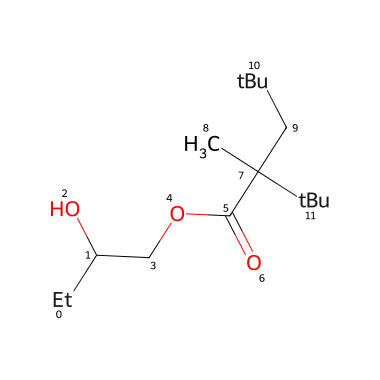 CCC(O)COC(=O)C(C)(CC(C)(C)C)C(C)(C)C